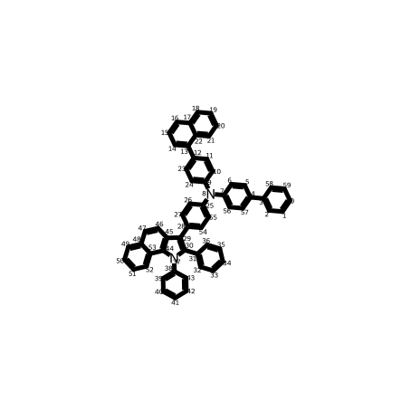 c1ccc(-c2ccc(N(c3ccc(-c4cccc5ccccc45)cc3)c3ccc(-c4c(-c5ccccc5)n(-c5ccccc5)c5c4ccc4ccccc45)cc3)cc2)cc1